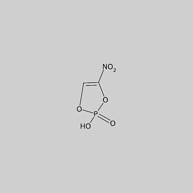 O=[N+]([O-])C1=COP(=O)(O)O1